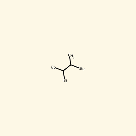 CCC(C)[C](C)C(CC)CC